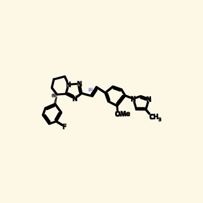 COc1cc(/C=C/c2nc3n(n2)CCC[C@H]3c2cccc(F)c2)ccc1-n1cnc(C)c1